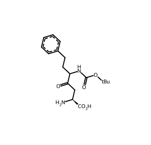 CC(C)(C)OC(=O)NC(CCc1ccccc1)C(=O)C[C@H](N)C(=O)O